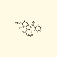 COc1ccc2c(c1Cl)c(C(C)C(=O)O)c(C)n2C(=O)c1ccccc1